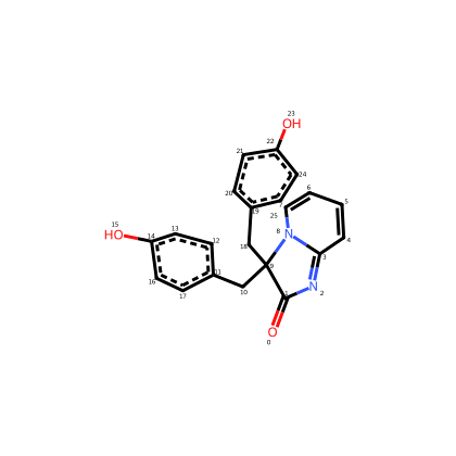 O=C1N=C2C=CC=CN2C1(Cc1ccc(O)cc1)Cc1ccc(O)cc1